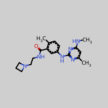 CNc1cc(C)nc(Nc2ccc(C)c(C(=O)NCCN3CCC3)c2)n1